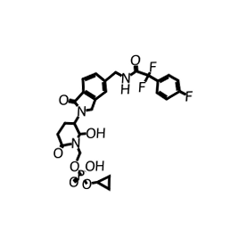 O=C1CCC(N2Cc3cc(CNC(=O)C(F)(F)c4ccc(F)cc4)ccc3C2=O)C(O)N1COP(=O)(O)OC1CC1